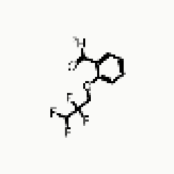 [2H]C(=O)c1ccccc1OCC(F)(F)C(F)F